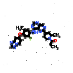 C=CC(=O)N1CCC(c2ncc3ncnc(Nc4cc(C)c(Oc5ccn6ncnc6c5)cc4F)c3n2)=C[C@@H]1C